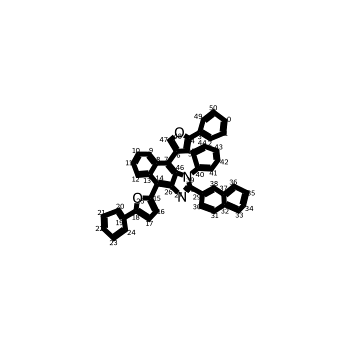 c1ccc(-c2cc(-c3c4ccccc4c(-c4ccc(-c5ccccc5)o4)c4nc(-c5ccc6ccccc6c5)n(-c5ccccc5)c34)co2)cc1